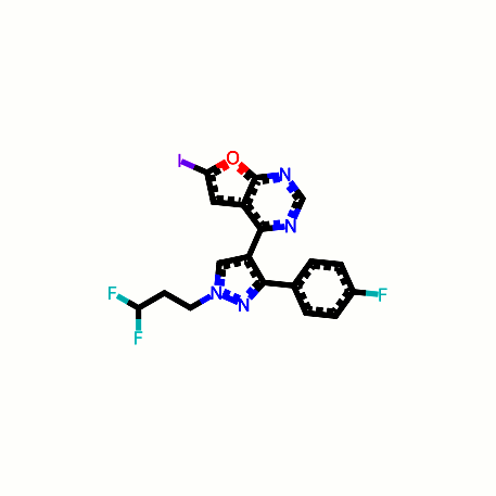 Fc1ccc(-c2nn(CCC(F)F)cc2-c2ncnc3oc(I)cc23)cc1